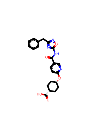 O=C(Nc1nc(Cc2ccccc2)no1)c1ccc(O[C@H]2CC[C@@H](C(=O)O)CC2)nc1